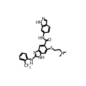 CN(C)CCSc1cc2[nH]c(Nc3ccccc3C(F)(F)F)nc2cc1C(=O)Nc1ccc2cn[nH]c2c1